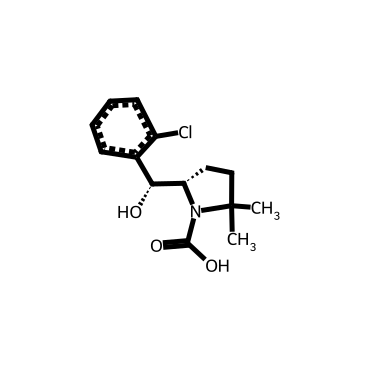 CC1(C)CC[C@@H]([C@H](O)c2ccccc2Cl)N1C(=O)O